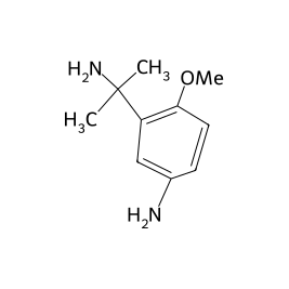 COc1ccc(N)cc1C(C)(C)N